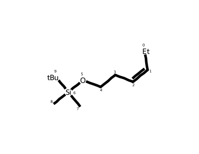 CC/C=C\CCO[Si](C)(C)C(C)(C)C